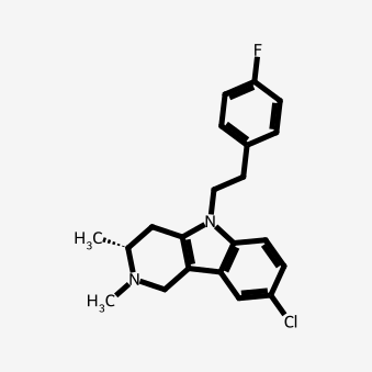 C[C@@H]1Cc2c(c3cc(Cl)ccc3n2CCc2ccc(F)cc2)CN1C